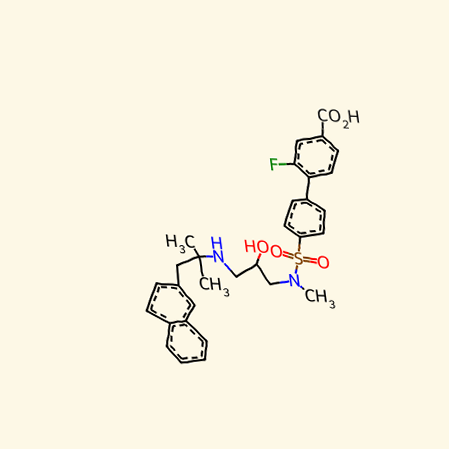 CN(CC(O)CNC(C)(C)Cc1ccc2ccccc2c1)S(=O)(=O)c1ccc(-c2ccc(C(=O)O)cc2F)cc1